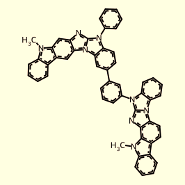 Cn1c2ccccc2c2cc3c(cc21)nc1n(-c2ccccc2)c2ccc(-c4cccc(-n5c6ccccc6n6c7ccc8c9ccccc9n(C)c8c7nc56)c4)cc2n31